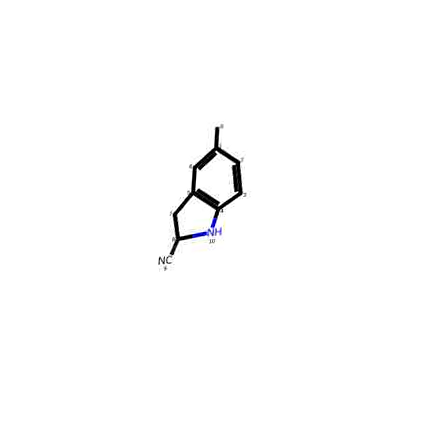 Cc1ccc2c(c1)CC(C#N)N2